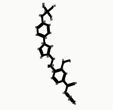 COc1cc(C(=O)N=[N+]=[N-])ccc1NCc1ncn(-c2ccc(OC(F)(F)F)cc2)n1